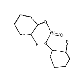 O=[PH](OC1CCCCC1F)OC1CCCCC1F